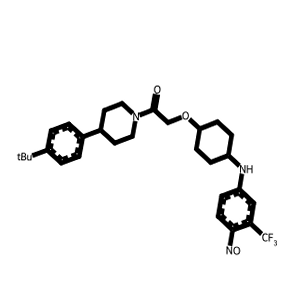 CC(C)(C)c1ccc(C2CCN(C(=O)COC3CCC(Nc4ccc(N=O)c(C(F)(F)F)c4)CC3)CC2)cc1